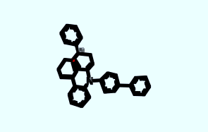 C1=CC(c2ccccc2N(C2=CC[C@H](c3ccccc3)C=C2)c2ccc(-c3ccccc3)cc2)=CCC1